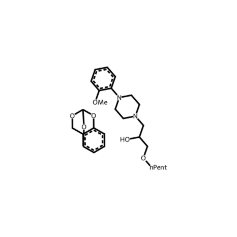 CCCCCOCC(O)CN1CCN(c2ccccc2OC)CC1.c1cc2c3c(c1)OC(OC3)O2